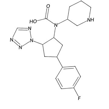 O=C(O)N(C1CCCNC1)C1CC(c2ccc(F)cc2)CC1n1ncnn1